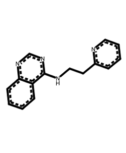 c1ccc(CCNc2ncnc3ccccc23)nc1